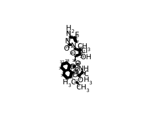 CC(C)OC(=O)[C@@H](C)NP(=O)(OC[C@H]1OC(n2cc(F)c(N)nc2=O)[C@](C)(Cl)[C@@H]1O)Oc1cccc2ccccc12